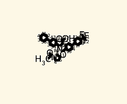 CC(=O)N1CCC[C@H]1CN(C(=O)c1ccc(-c2ccc(C(F)(F)F)cc2)cc1)C(CC(=O)O)c1ccc(-c2ccccc2)cc1